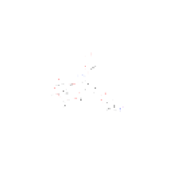 C#CP(=O)(Nc1cc(COC(=O)Oc2ccc([N+](=O)[O-])cc2)ccc1O[C@@H]1OC(C(=O)OC)[C@@H](OC(C)=O)[C@H](OC(C)=O)C1OC(C)=O)OCCO